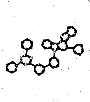 c1ccc(-c2nc(-c3ccccc3)nc(-c3cccc(-c4cccc(-n5c6ccccc6c6c7sc8ccccc8c7c(-c7ccccc7)cc65)c4)c3)n2)cc1